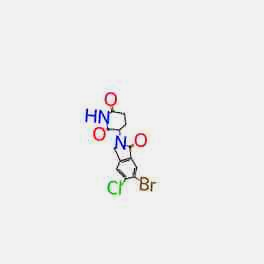 O=C1CCC(N2Cc3cc(Cl)c(Br)cc3C2=O)C(=O)N1